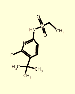 CCS(=O)(=O)Nc1ccc(C(C)(C)C)c(F)n1